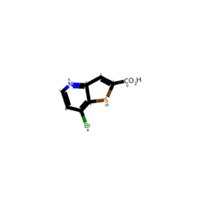 O=C(O)c1cc2nccc(Br)c2s1